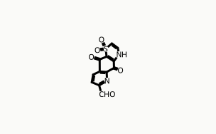 O=Cc1ccc2c(n1)C(=O)C1=C(C2=O)S(=O)(=O)C=CN1